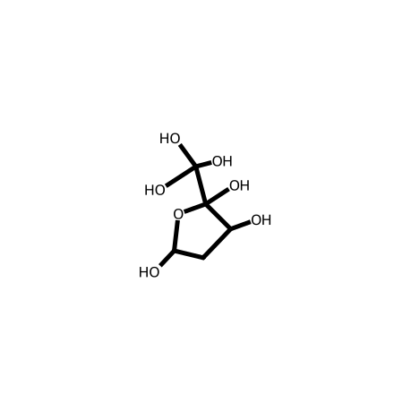 OC1CC(O)C(O)(C(O)(O)O)O1